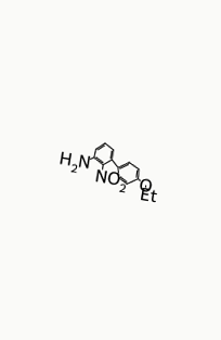 CCOc1ccc(-c2cccc(N)c2[N+](=O)[O-])cc1